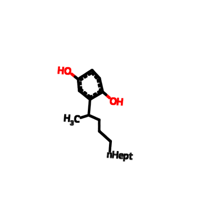 CCCCCCCCCCC(C)c1cc(O)ccc1O